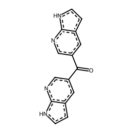 O=C(c1cnc2[nH]ccc2c1)c1cnc2[nH]ccc2c1